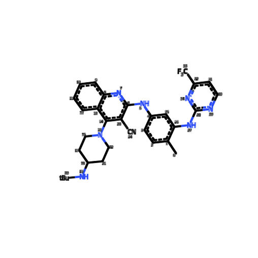 Cc1ccc(Nc2nc3ccccc3c(N3CCC(NC(C)(C)C)CC3)c2C#N)cc1Nc1nccc(C(F)(F)F)n1